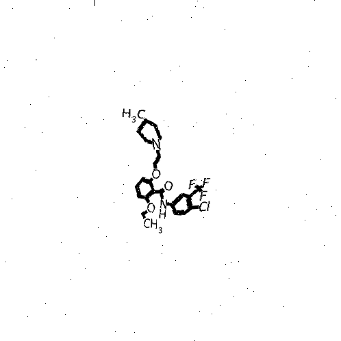 CCOc1cccc(OCCN2CCC(C)CC2)c1C(=O)Nc1ccc(Cl)c(C(F)(F)F)c1